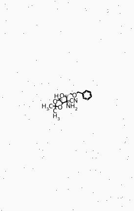 CC1(C)OC2[C@H](O[C@H](COCc3ccccc3)[C@]2(N)C#N)O1